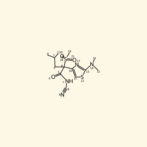 CC(C)CC(C(=O)NC#N)(c1csc(N(C)C)n1)S(C)(=O)=O